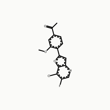 COc1cc(C(C)=O)ccc1-c1cc2ncc(F)c(Cl)c2o1